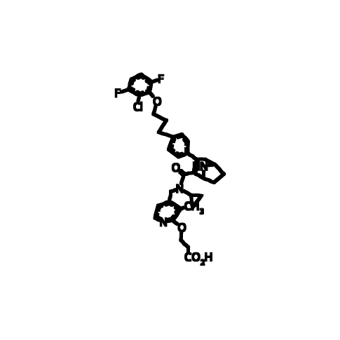 Cc1c(CN(C(=O)C2=C(c3ccc(CCCOc4c(F)ccc(F)c4Cl)cc3)CC3CCC2N3)C2CC2)ccnc1OCCC(=O)O